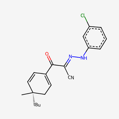 CC(C)(C)[C@]1(C)C=CC(C(=O)/C(C#N)=N/Nc2cccc(Cl)c2)=CC1